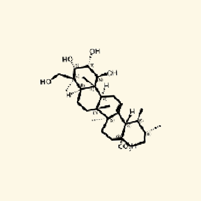 C[C@H]1[C@H](C)CC[C@]2(C(=O)O)CC[C@]3(C)C(=CC[C@@H]4[C@@]5(C)[C@H](O)[C@@H](O)[C@@H](O)[C@](C)(CO)[C@@H]5CC[C@]43C)[C@H]12